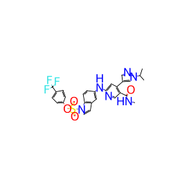 CNC(=O)c1cnc(Nc2ccc3c(ccn3S(=O)(=O)Oc3ccc(C(F)(F)F)cc3)c2)cc1-c1cnn(C(C)C)c1